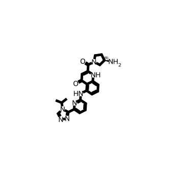 CC(C)n1cnnc1-c1cccc(Nc2cccc3[nH]c(C(=O)N4CC[C@@H](N)C4)cc(=O)c23)n1